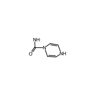 [NH]C(=O)N1C=CNC=C1